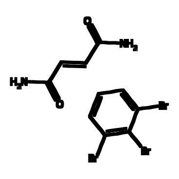 Brc1cccc(Br)c1Br.NC(=O)/C=C/C(N)=O